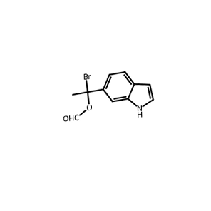 CC(Br)(OC=O)c1ccc2cc[nH]c2c1